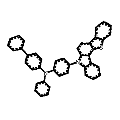 c1ccc(-c2ccc(N(c3ccccc3)c3ccc(-n4c5ccccc5c5c6sc7ccccc7c6ccc54)cc3)cc2)cc1